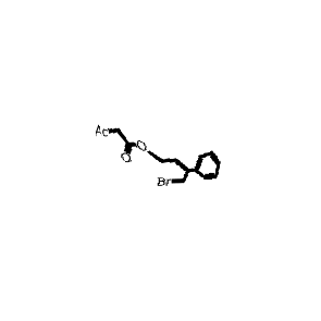 CC(=O)CC(=O)OCC=C(CBr)c1ccccc1